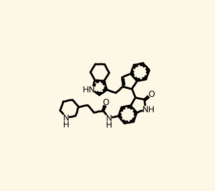 O=C(CCC1CCCNC1)Nc1ccc2c(c1)C(C1C(Cc3c[nH]c4c3CCCC4)=Cc3ccccc31)C(=O)N2